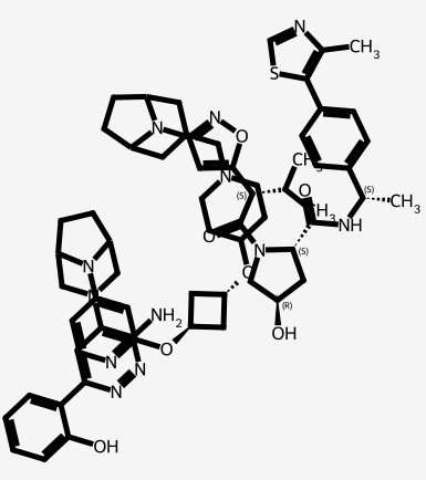 Cc1ncsc1-c1ccc([C@H](C)NC(=O)[C@@H]2C[C@@H](O)CN2C(=O)[C@H](c2cc(N3C4CCC3CC(CN3CCC(O[C@H]5C[C@H](Oc6cc(N7C8CCC7CN(c7cc(-c9ccccc9O)nnc7N)C8)ccn6)C5)CC3)C4)no2)C(C)C)cc1